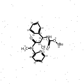 CN(C(=O)[C@H]([C@H](NC(=O)OC(C)(C)C)c1ccccc1)C(F)(F)F)c1ccccn1